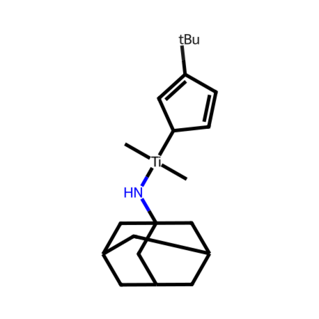 CC(C)(C)C1=C[CH]([Ti]([CH3])([CH3])[NH]C23CC4CC(CC(C4)C2)C3)C=C1